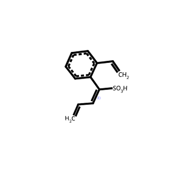 C=C/C=C(\c1ccccc1C=C)S(=O)(=O)O